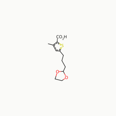 Cc1cc(CCCC2OCCO2)sc1C(=O)O